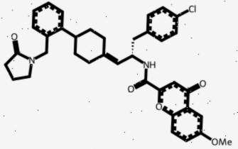 COc1ccc2oc(C(=O)N[C@H](C=C3CCC(c4ccccc4CN4CCCC4=O)CC3)Cc3ccc(Cl)cc3)cc(=O)c2c1